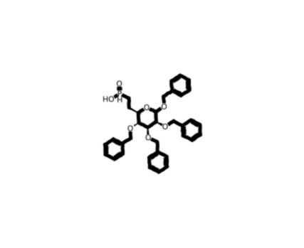 O=[PH](O)CC[C@H]1OC(OCc2ccccc2)[C@@H](OCc2ccccc2)[C@@H](OCc2ccccc2)[C@@H]1OCc1ccccc1